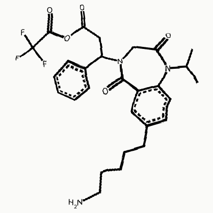 CC(C)N1C(=O)CN(C(CC(=O)OC(=O)C(F)(F)F)c2ccccc2)C(=O)c2cc(CCCCCN)ccc21